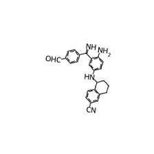 N#Cc1ccc2c(c1)CCCC2Nc1ccc(N)c(C(=N)c2ccc(C=O)cc2)c1